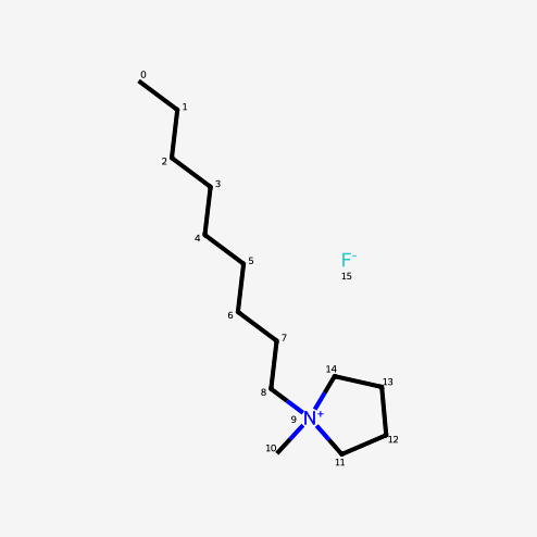 CCCCCCCCC[N+]1(C)CCCC1.[F-]